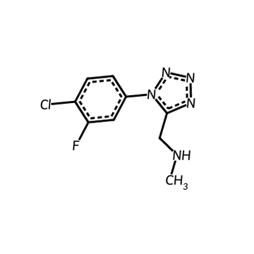 CNCc1nnnn1-c1ccc(Cl)c(F)c1